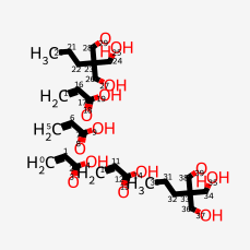 C=CC(=O)O.C=CC(=O)O.C=CC(=O)O.C=CC(=O)O.CCCC(CO)(CO)CO.CCCC(CO)(CO)CO